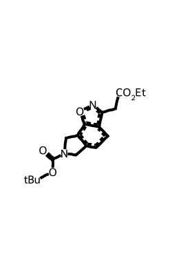 CCOC(=O)Cc1noc2c3c(ccc12)CN(C(=O)OC(C)(C)C)C3